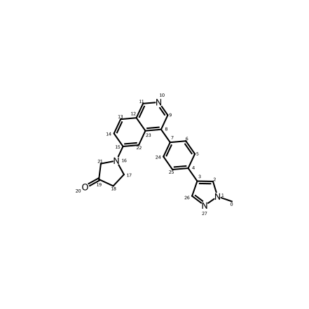 Cn1cc(-c2ccc(-c3cncc4ccc(N5CCC(=O)C5)cc34)cc2)cn1